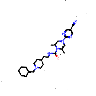 CC1CN(c2ncc(C#N)cn2)CC(C)N1C(=O)NCCC1CCN(CC2CCCCC2)CC1